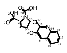 O=C(O)[C@@H]1C[C@@H](Oc2cc3ccccc3nc2Cl)CN1C(=O)O